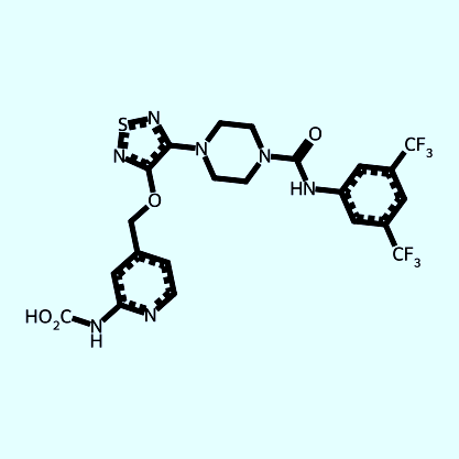 O=C(O)Nc1cc(COc2nsnc2N2CCN(C(=O)Nc3cc(C(F)(F)F)cc(C(F)(F)F)c3)CC2)ccn1